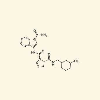 CC1CCCC(CNC(=O)[C@@H]2CC=CN2C(=O)Nc2cn(C(N)=O)c3ccccc23)C1